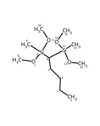 CCCCC([Si](C)(OC)OC)[Si](C)(OC)OC